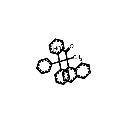 CC(C(=O)O)(c1cccc2ccccc12)C(c1ccccc1)(c1ccccc1)c1ccccc1